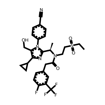 CCS(=O)(=O)CCN(C(=O)Cc1ccc(F)c(C(F)(F)F)c1)[C@H](C)c1nc(C2CC2)c(CO)n1-c1ccc(C#N)cc1